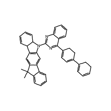 CC1(C)c2ccccc2-c2cc3c(cc21)C1C=CC=CC1N3c1nc(C2=CC=C(C3=CC=CCC3)CC2)c2ccccc2n1